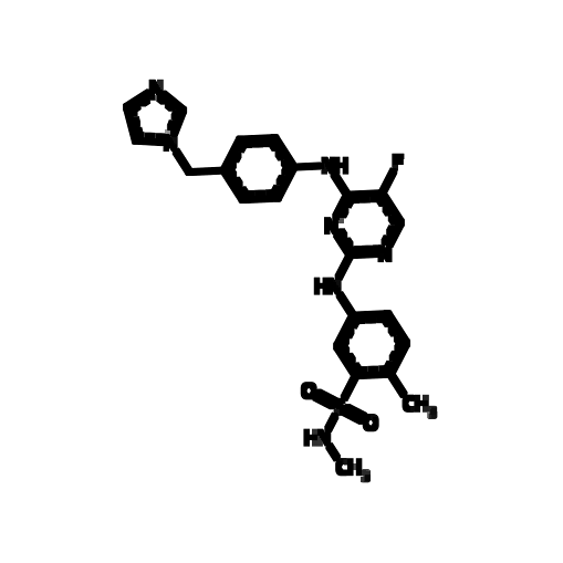 CNS(=O)(=O)c1cc(Nc2ncc(F)c(Nc3ccc(Cn4ccnc4)cc3)n2)ccc1C